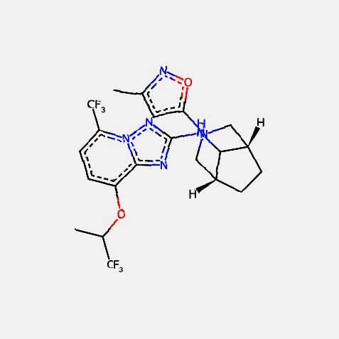 Cc1cc(N2C[C@H]3CC[C@@H](C2)C3Nc2nc3c(OC(C)C(F)(F)F)ccc(C(F)(F)F)n3n2)on1